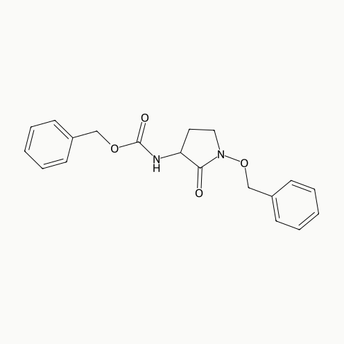 O=C(NC1CCN(OCc2ccccc2)C1=O)OCc1ccccc1